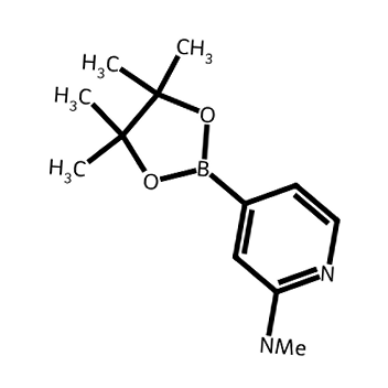 CNc1cc(B2OC(C)(C)C(C)(C)O2)ccn1